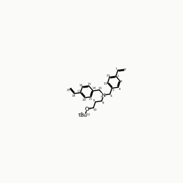 C=Cc1ccc(CN(CCCOC(C)(C)C)Cc2ccc(C=C)cc2)cc1